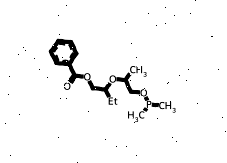 CCC(COC(=O)c1ccccc1)OC(C)COP(C)C